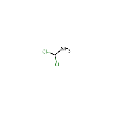 [SiH3]C(Cl)Cl